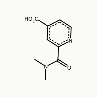 CN(C)C(=O)c1cc(C(=O)O)ccn1